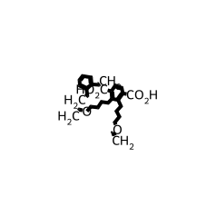 C=COCCCCc1c(C(=O)O)ccc(C(=O)O)c1CCCCOC=C.C=Cc1ccccc1C=C